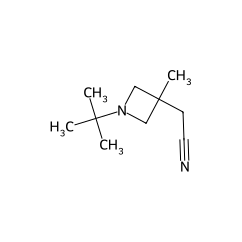 CC1(CC#N)CN(C(C)(C)C)C1